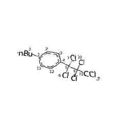 CCC[CH]c1ccc(C(Cl)(Cl)C(Cl)(Cl)C(Cl)(Cl)Cl)cc1